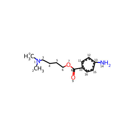 CN(C)CCCCOC(=O)c1ccc(N)cc1